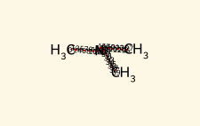 CCCCCCCCCCCCC[n+]1ccc(CCCCCCCCCCC)c(CCCCCCCCCCC)c1